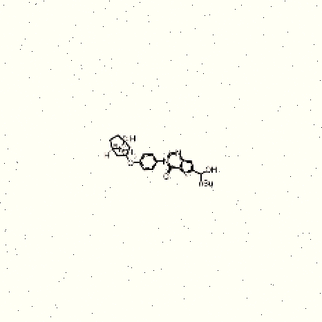 CCCCC(O)c1cc2ncn(-c3ccc(OC4C[C@H]5CC[C@@H](C4)N5C)cc3)c(=O)c2s1